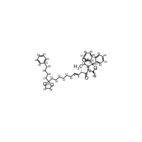 CC(C)[C@@H]1N(C(=O)CC=CCCCCCCC2(CCCCc3ccccc3)OCCO2)C(=S)OC1(c1ccccc1)c1ccccc1